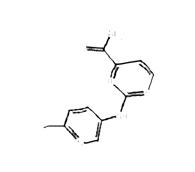 NC(=S)c1ccnc(Nc2ccc(Cl)nc2)n1